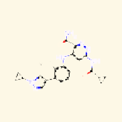 COc1c(Nc2cc(NC(=O)C3CC3)nnc2C(N)=O)cccc1-c1cnn(C2CC2)c1